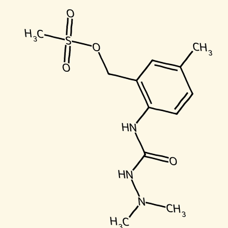 Cc1ccc(NC(=O)NN(C)C)c(COS(C)(=O)=O)c1